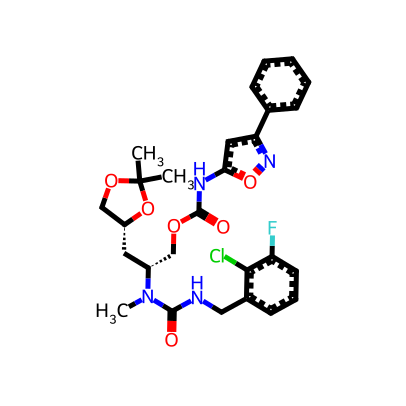 CN(C(=O)NCc1cccc(F)c1Cl)[C@@H](COC(=O)Nc1cc(-c2ccccc2)no1)C[C@@H]1COC(C)(C)O1